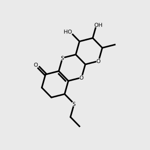 CCSC1CCC(=O)C2=C1OC1OC(C)C(O)C(O)C1S2